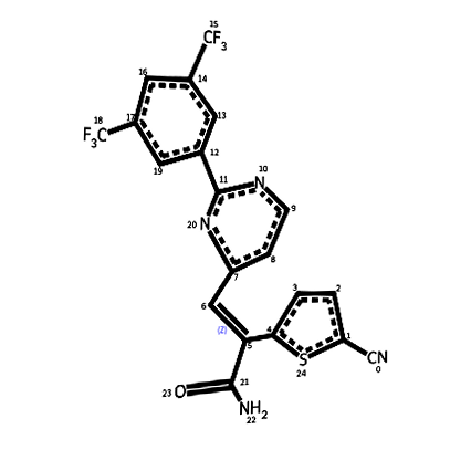 N#Cc1ccc(/C(=C\c2ccnc(-c3cc(C(F)(F)F)cc(C(F)(F)F)c3)n2)C(N)=O)s1